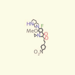 COc1c(N2CC3CCCNC3C2)c(F)cc2c(=O)c(C(=O)/C=C/c3ccc([N+](=O)[O-])cc3)cn(C3CC3)c12